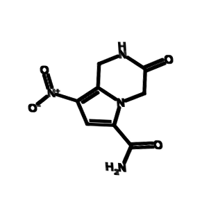 NC(=O)c1cc([N+](=O)[O-])c2n1CC(=O)NC2